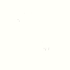 CCC(C)(CCCCN(C)C(C)=O)NC